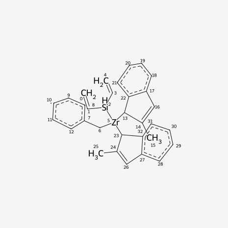 C=C[SiH](C=C)[Zr]([CH2]c1cc[c]cc1)([CH]1C(C)=Cc2ccccc21)[CH]1C(C)=Cc2ccccc21